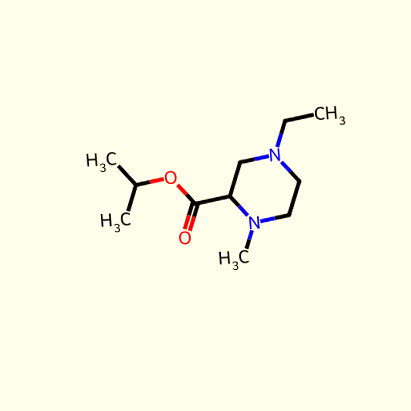 CCN1CCN(C)C(C(=O)OC(C)C)C1